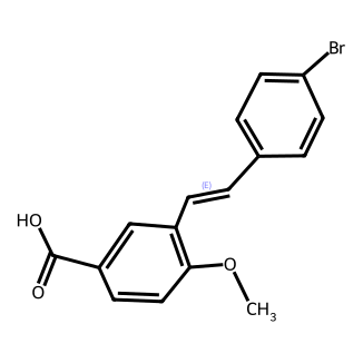 COc1ccc(C(=O)O)cc1/C=C/c1ccc(Br)cc1